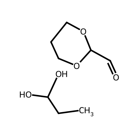 CCC(O)O.O=CC1OCCCO1